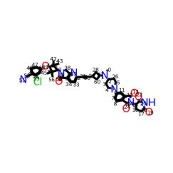 CN(C1CCN(c2ccc3c(c2)C(=O)N(C2CCC(=O)NC2=O)C3=O)CC1)C1CC(C#Cc2ccc3c(n2)CN([C@H]2C(C)(C)[C@H](Oc4ccc(C#N)c(Cl)c4)C2(C)C)C3=O)C1